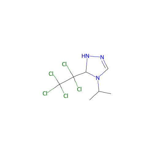 CC(C)N1C=NNC1C(Cl)(Cl)C(Cl)(Cl)Cl